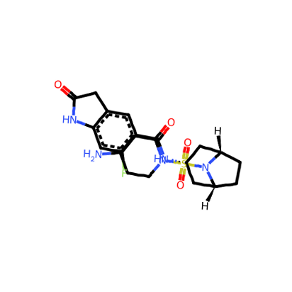 NC1CCN(S(=O)(=O)N2[C@@H]3CC[C@H]2C[C@@H](NC(=O)c2cc4c(cc2F)NC(=O)C4)C3)CC1